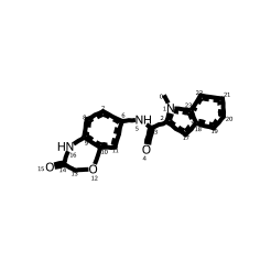 Cn1c(C(=O)Nc2ccc3c(c2)OCC(=O)N3)cc2ccccc21